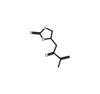 C=C(C)C(=O)CC1CSC(=S)O1